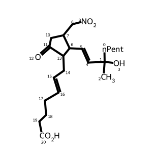 CCCCCC(C)(O)/C=C/C1C(C[N+](=O)[O-])CC(=O)C1C/C=C/CCCC(=O)O